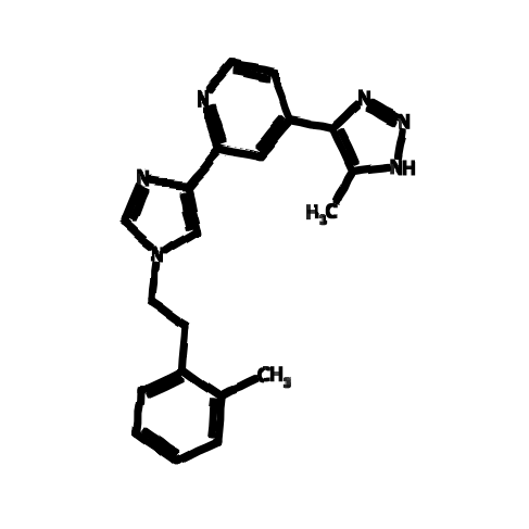 Cc1ccccc1CCn1cnc(-c2cc(-c3nn[nH]c3C)ccn2)c1